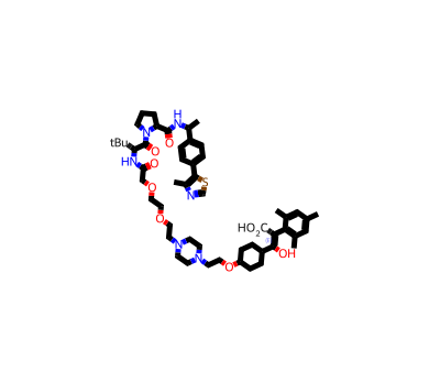 Cc1cc(C)c(/C(C(=O)O)=C(\O)C2CCC(OCCN3CCN(CCOCCOCC(=O)NC(C(=O)N4CCCC4C(=O)NC(C)c4ccc(-c5scnc5C)cc4)C(C)(C)C)CC3)CC2)c(C)c1